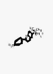 Cc1ccc(-c2ccc3cc([Si](C)(C)C)ccc3n2)cc1